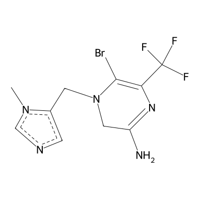 Cn1cncc1CN1CC(N)=NC(C(F)(F)F)=C1Br